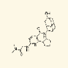 CN(C)C(=O)CNc1ncc(C(=O)NC2C3CC4CC2CC(O)(C4)C3)c(C2CCCC2)n1